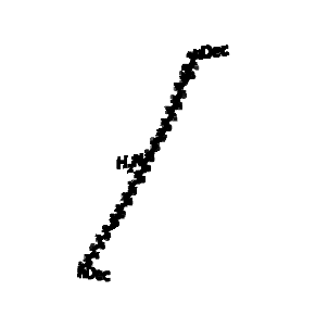 CCCCCCCCCCCCCCCCCCCCCCCCCCCCCCC(N)CCCCCCCCCCCCCCCCCCCCCCCCCCCCCC